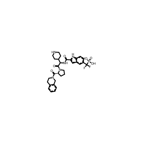 O=C(NC(C(=O)N1CCC[C@H]1C(=O)N1CCc2ccccc2C1)C1CCNCC1)c1cc2cc(C(F)(F)P(=O)(O)O)ccc2[nH]1